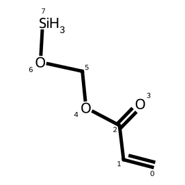 C=CC(=O)OCO[SiH3]